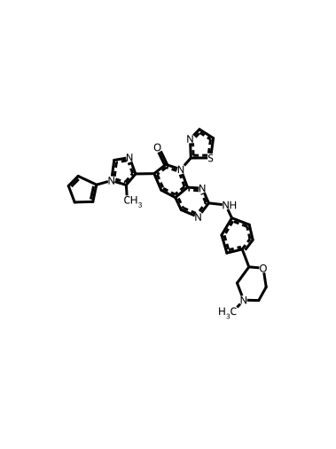 Cc1c(-c2cc3cnc(Nc4ccc(C5CN(C)CCO5)cc4)nc3n(-c3nccs3)c2=O)ncn1C1=CCC=C1